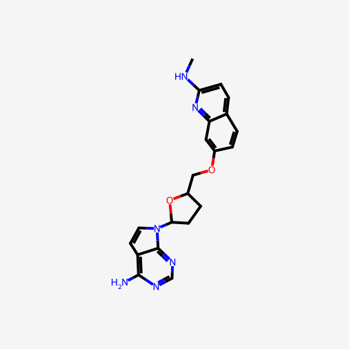 CNc1ccc2ccc(OCC3CCC(n4ccc5c(N)ncnc54)O3)cc2n1